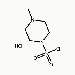 CN1CCN(S(=O)(=O)Cl)CC1.Cl